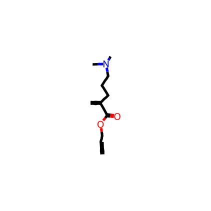 C=CCOC(=O)C(=C)CCCN(C)C